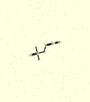 CP(C)(=O)CN=[N+]=[N-]